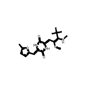 C=NC(/C=c1\[nH]c(=O)/c(=C/c2ccc(C)o2)[nH]c1=O)=C(\NC)C(C)(C)C